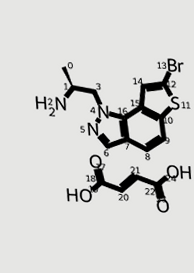 C[C@H](N)Cn1ncc2ccc3sc(Br)cc3c21.O=C(O)C=CC(=O)O